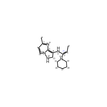 C/C=C(\NC1=C2N=C(C)C=CN2NC1)N1CCCCC1